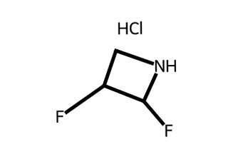 Cl.FC1CNC1F